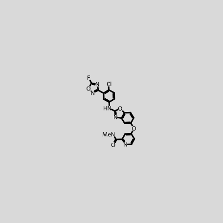 CNC(=O)c1cc(Oc2ccc3oc(Nc4ccc(Cl)c(-c5noc(F)n5)c4)nc3c2)ccn1